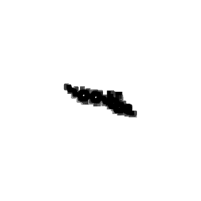 CCCCC1CCC(C2CCC(CCc3cc4ccc(OCC)cc4c(F)c3F)CC2)CC1